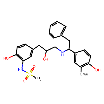 COc1cc(C(Cc2ccccc2)NCC(O)Cc2ccc(O)c(NS(C)(=O)=O)c2)ccc1O